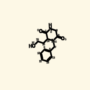 O=C1NCC(=O)N(Cc2ccccc2)C1CCO